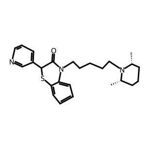 C[C@@H]1CCC[C@H](C)N1CCCCCN1C(=O)C(c2cccnc2)Sc2ccccc21